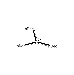 CCCCCCCCCCCCCCCC[N+](CC)(CCCCCCCCCCCCCCCC)CCCCCCCCCCCCCCCC